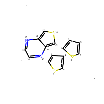 c1ccsc1.c1ccsc1.c1cnc2cscc2n1